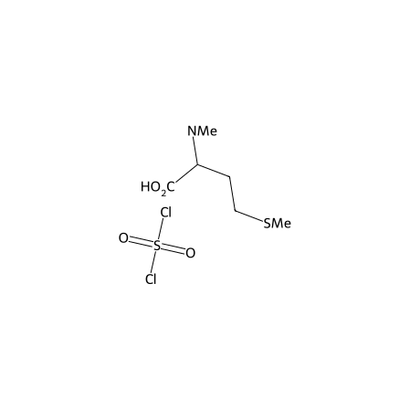 CNC(CCSC)C(=O)O.O=S(=O)(Cl)Cl